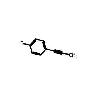 CC#Cc1ccc(F)cc1